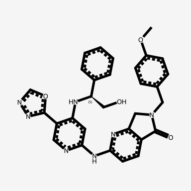 COc1ccc(CN2Cc3nc(Nc4cc(N[C@H](CO)c5ccccc5)c(-c5nnco5)cn4)ccc3C2=O)cc1